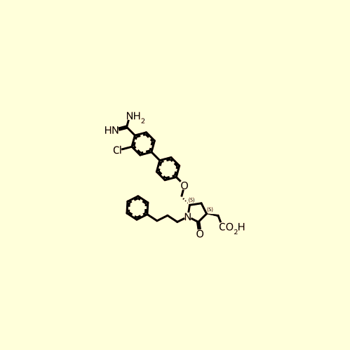 N=C(N)c1ccc(-c2ccc(OC[C@@H]3C[C@@H](CC(=O)O)C(=O)N3CCCc3ccccc3)cc2)cc1Cl